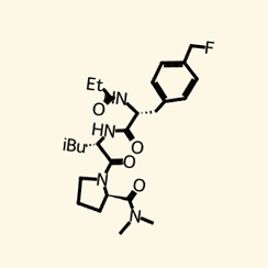 CCC(=O)N[C@H](Cc1ccc(CF)cc1)C(=O)N[C@H](C(=O)N1CCC[C@@H]1C(=O)N(C)C)C(C)CC